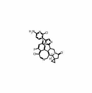 Nc1ccc(-c2cnc(C3CN4C(=O)CC5(CC5)[C@H]4C4=C3C3=CC(=O)C=C(F)C3=C(Cl)C=NC4)[nH]2)c(Cl)n1